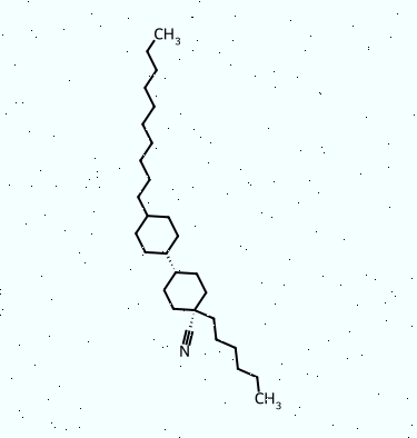 CCCCCCCCCCC1CCC([C@H]2CC[C@](C#N)(CCCCCC)CC2)CC1